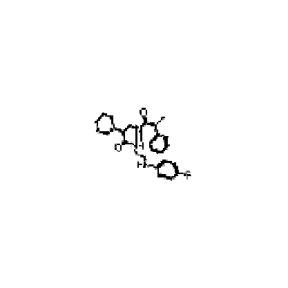 C[C@H](C(=O)NCC(C(=O)NCCNc1ccc(F)cc1)C1CCCCC1)c1ccccc1